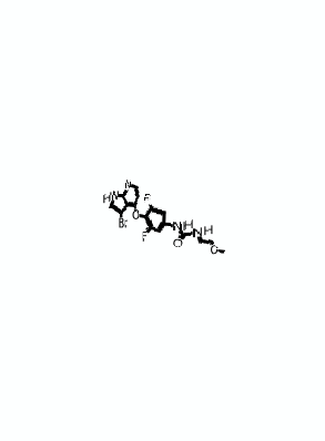 COCCNC(=O)Nc1cc(F)c(Oc2ccnc3[nH]cc(Br)c23)c(F)c1